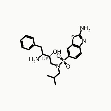 CC(C)CN(C[C@@H](O)[C@@H](N)Cc1ccccc1)S(=O)(=O)c1ccc2nc(N)sc2c1